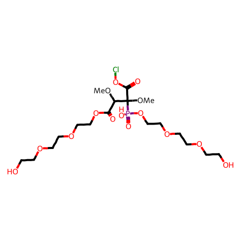 COC(C(=O)OCCOCCOCCO)C(OC)(C(=O)OCl)P(=O)(O)OCCOCCOCCO